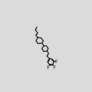 CCCCC1CCC(C2CCC(CCc3cc(F)c(F)c(F)c3)CC2)CC1